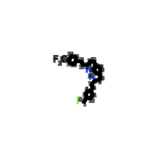 FCc1ccc(/C=C/c2ccc3ccc4ccc(/C=C/c5ccc(C(F)(F)F)cc5)nc4c3n2)cc1